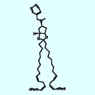 CCCCC/C=C\C/C=C\CCCCCCCCC1(CCCCCCCC/C=C\C/C=C\CCCCC)OC2C[C@H](N(C)Cc3cccnc3)C[C@H]2O1